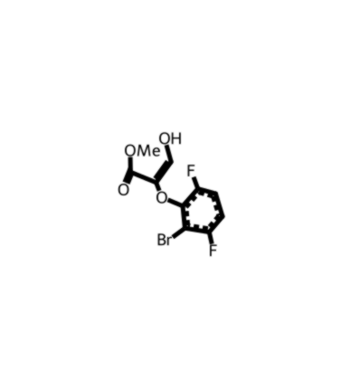 COC(=O)C(=CO)Oc1c(F)ccc(F)c1Br